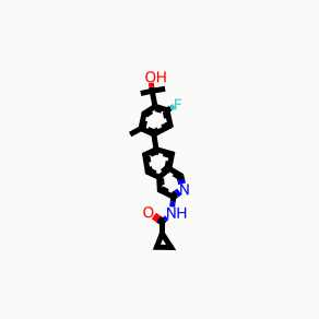 Cc1cc(C(C)(C)O)c(F)cc1-c1ccc2cc(NC(=O)C3CC3)ncc2c1